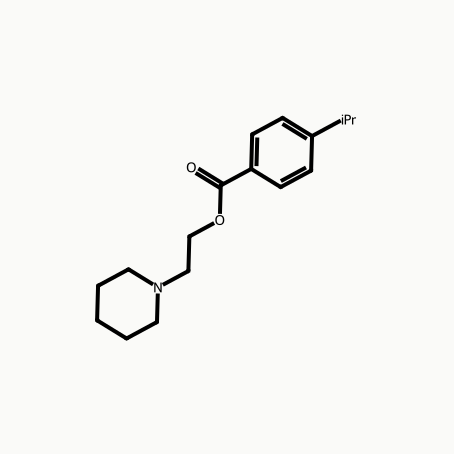 CC(C)c1ccc(C(=O)OCCN2CCCCC2)cc1